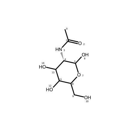 CC(=O)N[C@@H]1C(O)OC(CO)C(O)C1O